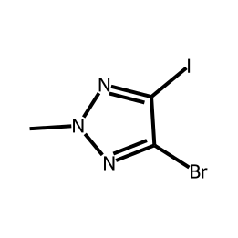 Cn1nc(Br)c(I)n1